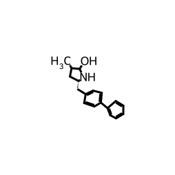 CC1C[C@@H](Cc2ccc(-c3ccccc3)cc2)NC1O